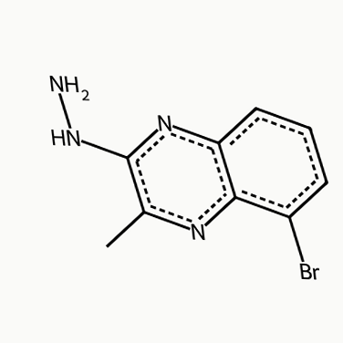 Cc1nc2c(Br)cccc2nc1NN